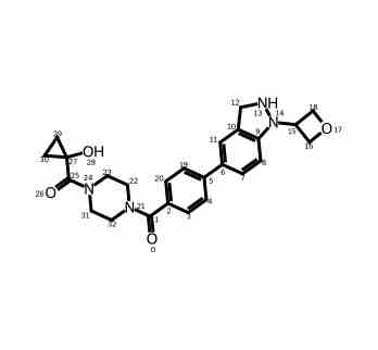 O=C(c1ccc(-c2ccc3c(c2)CNN3C2COC2)cc1)N1CCN(C(=O)C2(O)CC2)CC1